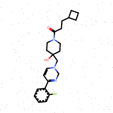 O=C(CCC1CCC1)N1CCC(O)(CN2C=CC(c3ccccc3F)=NC2)CC1